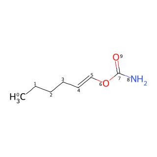 CCCCC=COC(N)=O